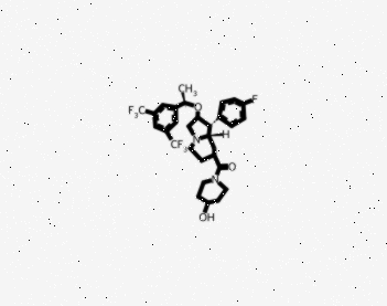 C[C@@H](OC1CN2CCC(C(=O)N3CCC(O)CC3)C[C@H]2[C@H]1c1ccc(F)cc1)c1cc(C(F)(F)F)cc(C(F)(F)F)c1